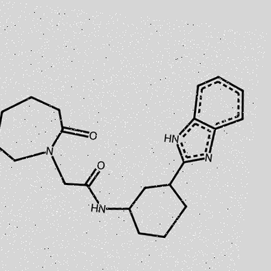 O=C(CN1CCCCCC1=O)NC1CCCC(c2nc3ccccc3[nH]2)C1